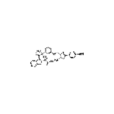 Cc1oc(-c2ccc(C#N)cc2)nc1COc1cccc(C(C)(C)C(=O)N2c3ccccc3C[C@H]2OC(=O)O)c1